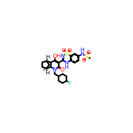 CS(=O)(=O)Nc1ccc2c(c1)S(=O)(=O)N=C(C1=C(O)C3C([C@@H]4CC[C@H]3C4)N(CC3CCC(F)CC3)C1=O)N2